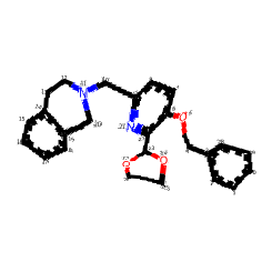 c1ccc(COc2ccc(CN3CCc4ccccc4C3)nc2C2OCCO2)cc1